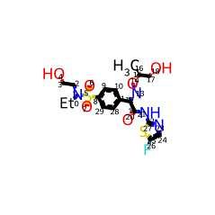 CCN(CCO)S(=O)(=O)c1ccc(/C(=N\O[C@H](C)CO)C(=O)Nc2ncc(F)s2)cc1